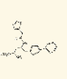 CCOC(=O)[C@H](C)C[C@@H](Cc1ccc(-c2ccccc2)cc1)NC(=O)Cc1cccs1